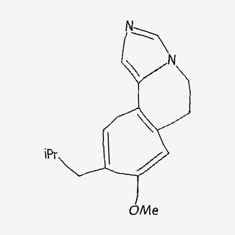 COc1cc2c(cc1CC(C)C)-c1cncn1CC2